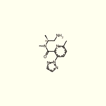 Cc1ccc(-n2nccn2)c(C(=O)N(C)[C@@H](C)CN)n1